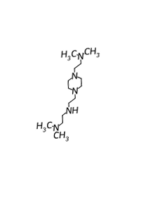 CN(C)CCNCCN1CCN(CCN(C)C)CC1